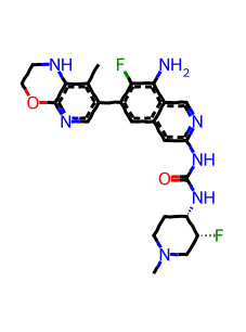 Cc1c(-c2cc3cc(NC(=O)N[C@H]4CCN(C)C[C@H]4F)ncc3c(N)c2F)cnc2c1NCCO2